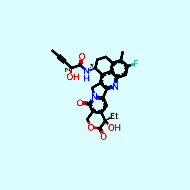 CC#C[C@H](O)C(=O)N[C@H]1CCc2c(C)c(F)cc3nc4c(c1c23)Cn1c-4cc2c(c1=O)COC(=O)[C@]2(O)CC